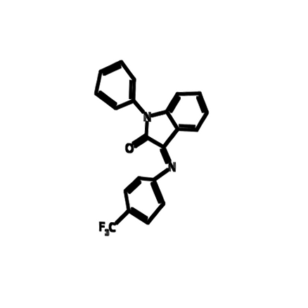 O=C1C(=Nc2ccc(C(F)(F)F)cc2)c2ccccc2N1c1ccccc1